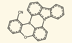 N#Cc1cccc2c1B1c3c(cccc3-n3c4ccccc4c4cccc1c43)O2